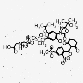 CC(C)Oc1cc(-n2nc(C(C)(C)C)oc2=O)c(Cl)cc1Cl.CS(=O)(=O)c1ccc(C(=O)C2C(=O)CCCC2=O)c([N+](=O)[O-])c1.C[S+](C)C.O=C(O)CNCP(=O)([O-])O